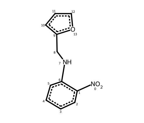 O=[N+]([O-])c1ccccc1NCc1ccco1